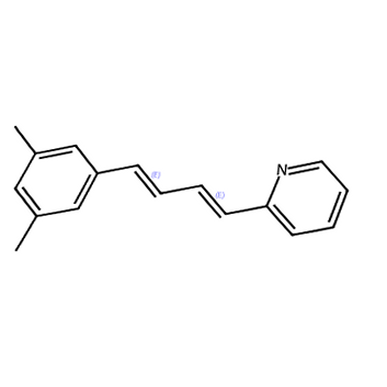 Cc1cc(C)cc(/C=C/C=C/c2ccccn2)c1